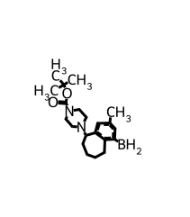 Bc1cc(C)cc2c1CCCCC2N1CCN(C(=O)OC(C)(C)C)CC1